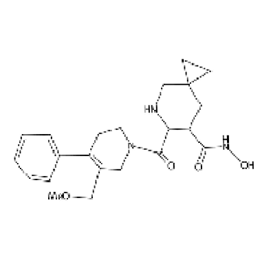 COCC1=C(c2ccccc2)CCN(C(=O)C2NCC3(CC3)CC2C(=O)NO)C1